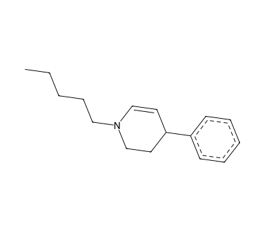 CCCCCN1C=CC(c2ccccc2)CC1